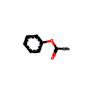 [CH2]OC(=O)Oc1ccccc1